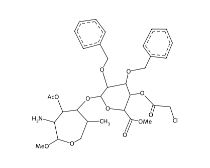 COC(=O)C1OC(OC2C(C)COC(OC)C(N)C2OC(C)=O)C(OCc2ccccc2)C(OCc2ccccc2)C1OC(=O)CCl